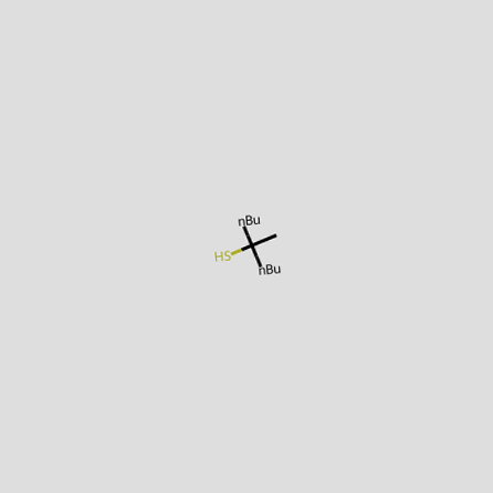 CCCCC(C)(S)CCCC